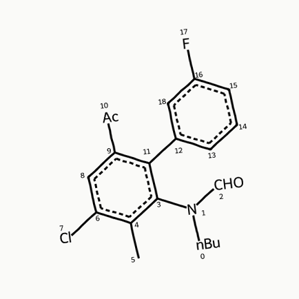 CCCCN(C=O)c1c(C)c(Cl)cc(C(C)=O)c1-c1cccc(F)c1